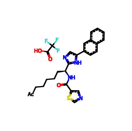 CC(=O)CCCCC[C@H](NC(=O)c1cncs1)c1ncc(-c2ccc3ccccc3c2)[nH]1.O=C(O)C(F)(F)F